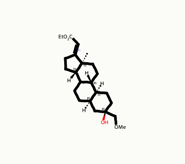 CCOC(=O)/C=C1\CC[C@H]2C3CC[C@@H]4C[C@@](O)(COC)CC[C@@H]4[C@H]3CC[C@]12C